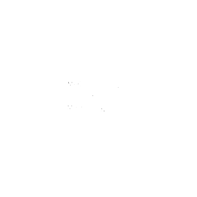 COC1(OC)CC2CCN1C2